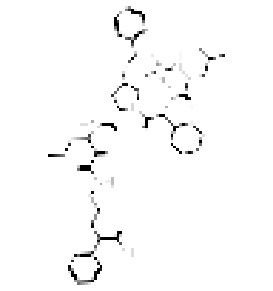 CCCC(NC(=O)[C@@H]1C[C@@H](OCc2ccccc2)CN1C(=O)[C@@H](NC(=O)[C@H](CC(C)C)NS(C)(=O)=O)C1CCCCC1)C(=O)C(=O)NCCCC(C(N)=O)c1ccccc1